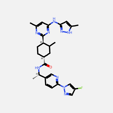 Cc1cc(Nc2cc(C)[nH]n2)nc([C@@H]2CC[C@@H](C(=O)N[C@@H](C)c3ccc(-n4cc(F)cn4)nc3)CC2C)n1